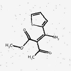 COC(=O)C(C(C)=O)=C(N)c1cccs1